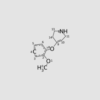 COc1ccccc1OC1=CCNCC1